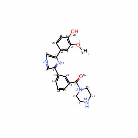 COc1cc(-c2cncc(-c3cccc(C(=O)N4CCNCC4)c3)n2)ccc1O